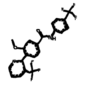 COc1cc(C(=O)Nc2ccc(C(F)(F)F)cc2)ccc1-c1ncccc1C(F)(F)F